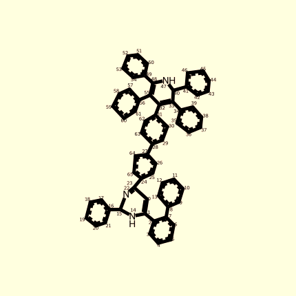 C1=C(c2ccccc2-c2ccccc2)NC(c2ccccc2)N=C1c1ccc(-c2ccc(C3=C(c4ccccc4)C(c4ccccc4)NC(c4ccccc4)=C3c3ccccc3)cc2)cc1